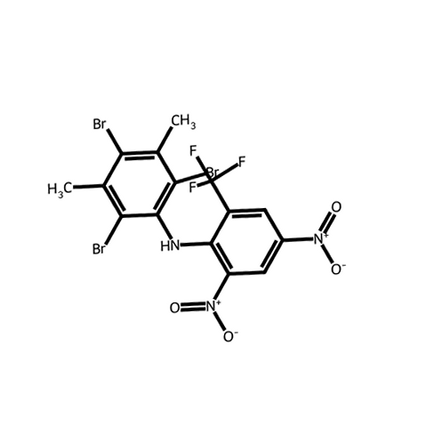 Cc1c(Br)c(C)c(Br)c(Nc2c([N+](=O)[O-])cc([N+](=O)[O-])cc2C(F)(F)F)c1Br